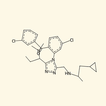 CCC(c1nnc(CNC(C)CC2CC2)n1-c1cc(Cl)ccc1C(=O)c1cccc(Cl)c1)N(C)C